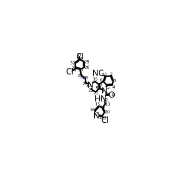 N#Cc1cccc2c1c1c(n2C(=O)NCc2ccnc(Cl)c2)CCN(C/C=C/c2ccc(Cl)cc2Cl)C1